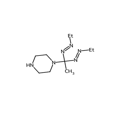 CCN=NC(C)(N=NCC)N1CCNCC1